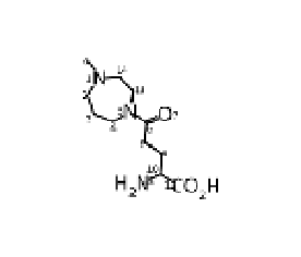 CN1CCCN(C(=O)CCC(N)C(=O)O)CC1